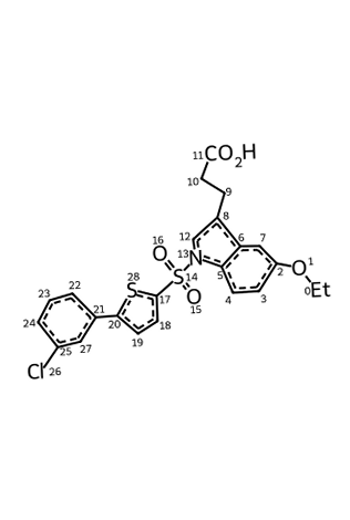 CCOc1ccc2c(c1)c(CCC(=O)O)cn2S(=O)(=O)c1ccc(-c2cccc(Cl)c2)s1